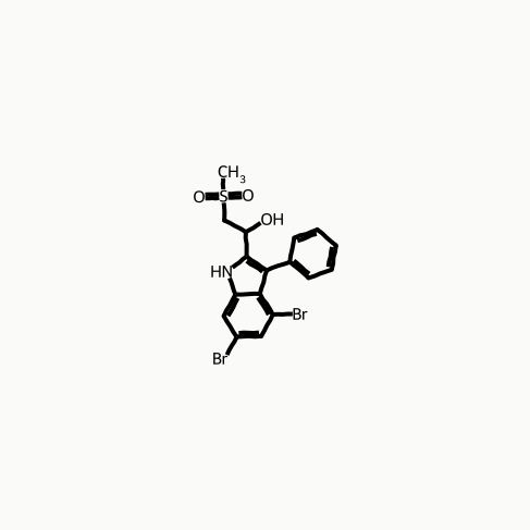 CS(=O)(=O)CC(O)c1[nH]c2cc(Br)cc(Br)c2c1-c1ccccc1